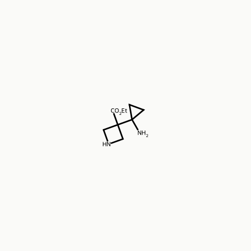 CCOC(=O)C1(C2(N)CC2)CNC1